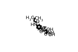 CC(C)CC(=O)Nc1ccc(S(=O)(=O)CC(C)(O)C(=O)NO)cc1